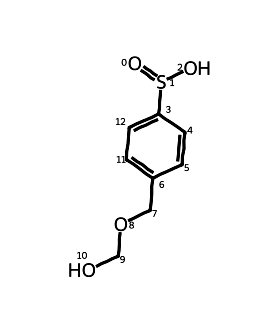 O=S(O)c1ccc(COCO)cc1